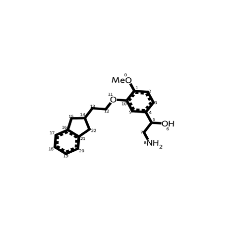 COc1ccc(C(O)CN)cc1OCCC1Cc2ccccc2C1